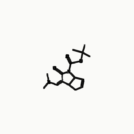 CN(C)/C=C1\C(=O)N(C(=O)OC(C)(C)C)C2C=CCC12